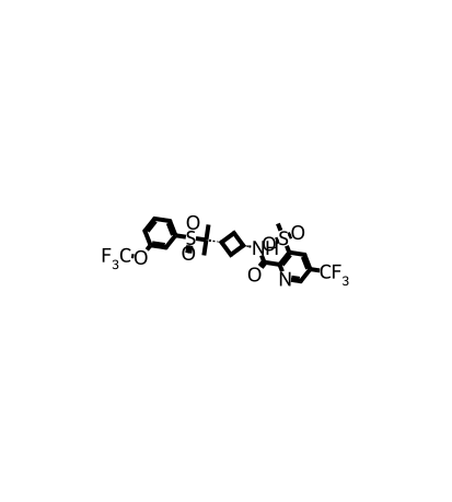 CC(C)([C@H]1C[C@@H](NC(=O)c2ncc(C(F)(F)F)cc2S(C)(=O)=O)C1)S(=O)(=O)c1cccc(OC(F)(F)F)c1